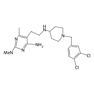 CNc1nc(C)c(CCNC2CCN(Cc3ccc(Cl)c(Cl)c3)CC2)c(N)n1